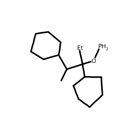 CCC(OP)(C1CCCCC1)C(C)C1CCCCC1